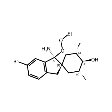 CCOO[C@]1(N)c2cc(Br)ccc2C[C@@]12C[C@@H](C)[C@H](O)[C@@H](C)C2